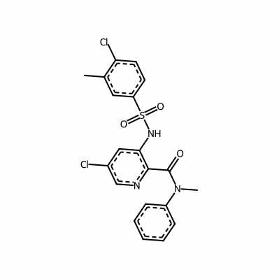 Cc1cc(S(=O)(=O)Nc2cc(Cl)cnc2C(=O)N(C)c2ccccc2)ccc1Cl